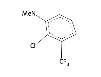 CNc1cc[c]c(C(F)(F)F)c1Cl